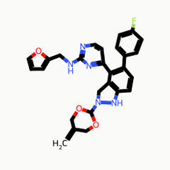 C=C1COC(N2Cc3c(ccc(-c4ccc(F)cc4)c3-c3ccnc(NCc4ccco4)n3)N2)OC1